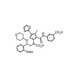 COc1ccccc1C(CN(C(=O)O)c1sc(-c2ncco2)c(C)c1C(=O)Nc1cccc(C(=O)O)c1)OC1CCOCC1